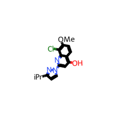 COc1ccc2c(O)cc(-n3ccc(C(C)C)n3)nc2c1Cl